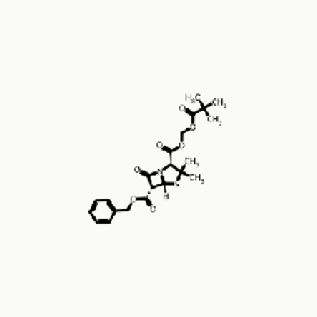 CC(C)(C)C(=O)OCOC(=O)[C@@H]1N2C(=O)[C@@H](C(=O)OCc3ccccc3)[C@H]2SC1(C)C